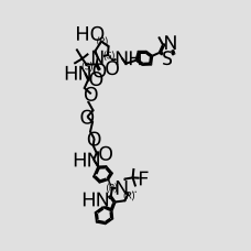 Cc1ncsc1-c1ccc(CNC(=O)[C@@H]2C[C@@H](O)CN2C(=O)[C@@H](NC(=O)COCCOCCOCC(=O)Nc2ccc([C@@H]3c4[nH]c5ccccc5c4C[C@@H](C)N3CC(C)(C)F)cc2)C(C)(C)C)cc1